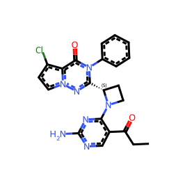 CCC(=O)c1cnc(N)nc1N1CC[C@H]1c1nn2ccc(Cl)c2c(=O)n1-c1ccccc1